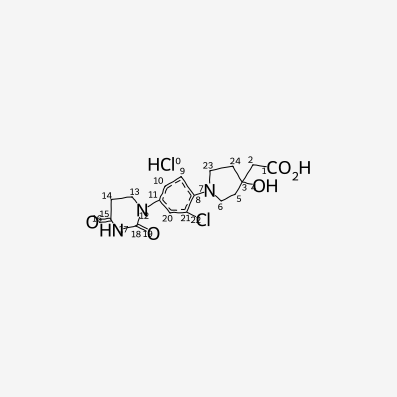 Cl.O=C(O)CC1(O)CCN(c2ccc(N3CCC(=O)NC3=O)cc2Cl)CC1